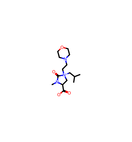 CC(C)C[N+]1(CCN2CCOCC2)CC(C(=O)[O-])N(C)C1=O